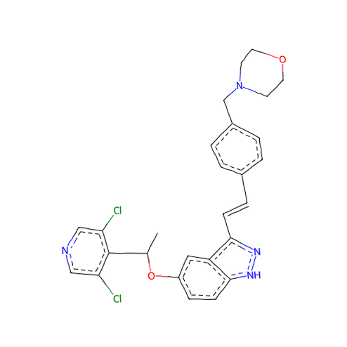 CC(Oc1ccc2[nH]nc(/C=C/c3ccc(CN4CCOCC4)cc3)c2c1)c1c(Cl)cncc1Cl